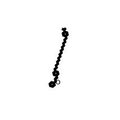 C=C(C)c1ccc(CCCCCCCCCCCCCCCCCCc2ccc(C=CC(=O)c3ccccc3)cc2)cc1